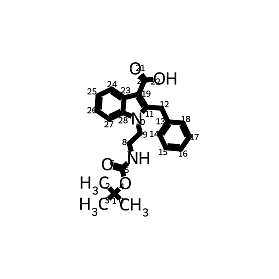 CC(C)(C)OC(=O)NCCn1c(Cc2ccccc2)c(C(=O)O)c2ccccc21